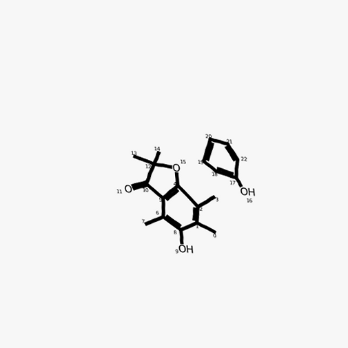 Cc1c(C)c2c(c(C)c1O)C(=O)C(C)(C)O2.Oc1ccccc1